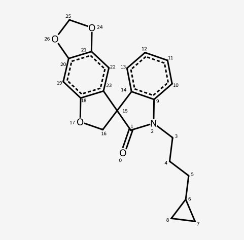 O=C1N(CCCC2CC2)c2ccccc2C12COc1cc3c(cc12)OCO3